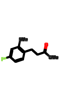 COC(=O)CCc1ccc(F)cc1SC